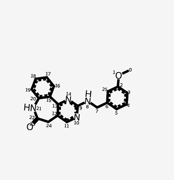 COc1cccc(CNc2ncc3c(n2)-c2ccccc2NC(=O)C3)c1